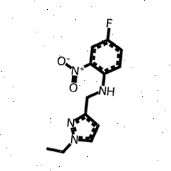 CCn1ccc(CNc2ccc(F)cc2[N+](=O)[O-])n1